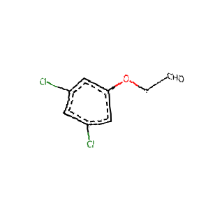 O=C[CH]Oc1cc(Cl)cc(Cl)c1